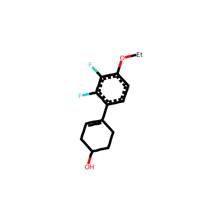 CCOc1ccc(C2=CCC(O)CC2)c(F)c1F